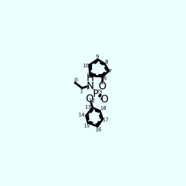 CCNP(=O)(Oc1ccccc1)Oc1ccccc1